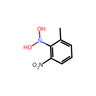 Cc1cccc([N+](=O)[O-])c1N(O)O